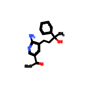 COC(=O)c1cnc(N)c(CCC(C)(O)c2ccccc2)c1